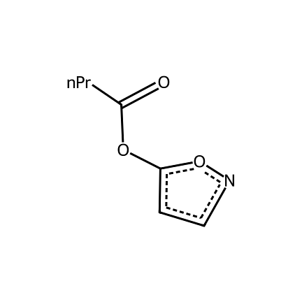 CCCC(=O)Oc1ccno1